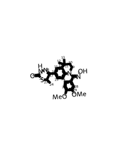 COc1ccc(/C(=N/O)N2CCC(C)(C)c3cc(C4=NNC(=O)SC4C)ccc32)cc1OC